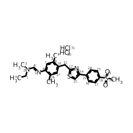 CCN(C)C=Nc1cc(C)c(Cc2nc(-c3ccc(S(C)(=O)=O)cc3)cs2)cc1C.Cl.Cl